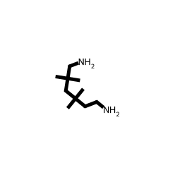 CC(C)(CN)CC(C)(C)CCN